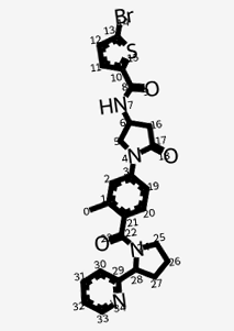 Cc1cc(N2CC(NC(=O)c3ccc(Br)s3)CC2=O)ccc1C(=O)N1CCCC1c1ccccn1